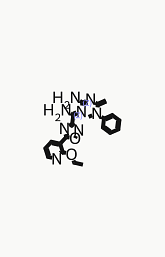 C=C(/N=C(N)\N=C(/N)c1noc(-c2cccnc2OCC)n1)N(C)c1ccccc1